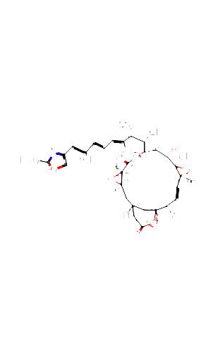 CO[C@@H](/C(C)=C/C=C/C(C)=C/c1coc(C)n1)[C@@H](C)[C@H]1C[C@H](O)[C@@]2(C)O[C@@H]2/C=C/[C@@H](C)[C@H]2C[C@H](CC(=O)O2)C[C@H]2O[C@H]2C(=O)O1